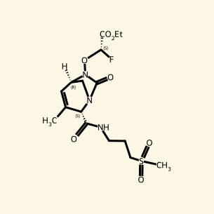 CCOC(=O)[C@H](F)ON1C(=O)N2C[C@H]1C=C(C)[C@H]2C(=O)NCCCS(C)(=O)=O